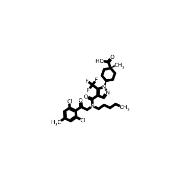 CCCCCN(CC(=O)c1c(Cl)cc(C)cc1Cl)C(=O)c1cnn([C@H]2CC[C@](C)(C(=O)O)CC2)c1C(F)(F)F